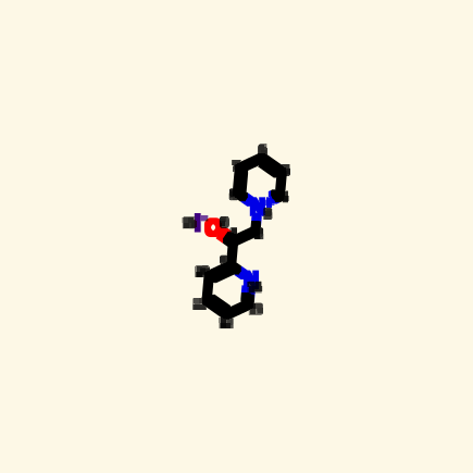 O=C(C[n+]1ccccc1)c1ccccn1.[I-]